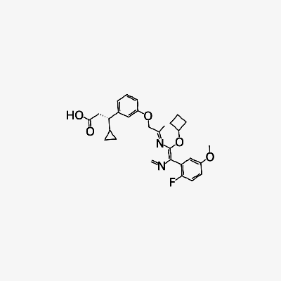 C=N/C(=C(\N=C(/C)COc1cccc([C@@H](CC(=O)O)C2CC2)c1)OC1CCC1)c1cc(OC)ccc1F